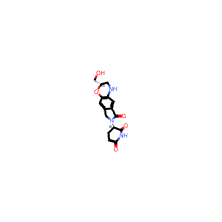 O=C1CC[C@H](N2Cc3cc4c(cc3C2=O)NC[C@@H](CO)O4)C(=O)N1